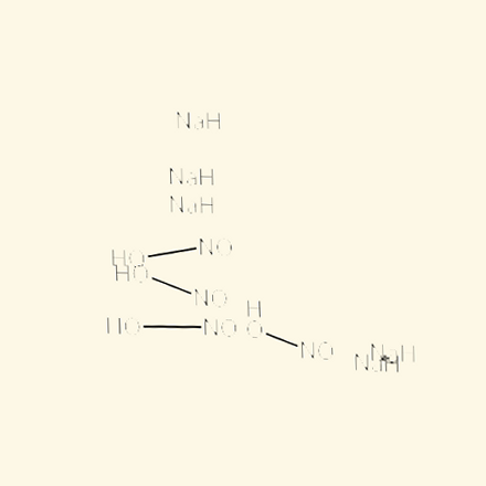 O=NO.O=NO.O=NO.O=NO.[NaH].[NaH].[NaH].[NaH].[NaH]